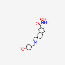 COc1ccc(CN2CCC3(CCc4ccc(C(=O)NO)cc4C3)C2)cc1